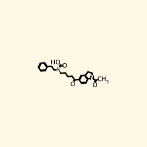 CC(=O)N1CCc2cc(C(=O)CCCCN(CCc3ccccc3)C(=O)O)ccc21